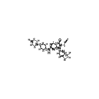 C#CCn1c(=O)c2cnc(Nc3ccc(N4CCN(C)CC4)cc3)nc2n1-c1ccc2c(n1)C(C)CC2